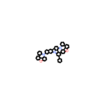 c1ccc(-c2ccc3c4c(N(c5ccccc5)c5cccc6oc7ccccc7c56)ccc5c6cc7ccc(N(c8ccccc8)c8cccc9oc%10ccccc%10c89)cc7cc6n(c3c2)c54)cc1